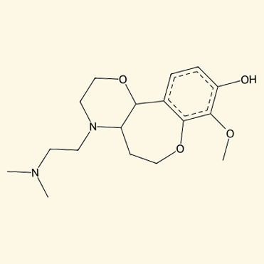 COc1c(O)ccc2c1OCCC1C2OCCN1CCN(C)C